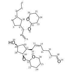 CCCC1CCC([C@@H](/C=C/[C@@H]2[C@@H](C/C=C\CCCC=O)[C@@H](OC3CCCCO3)C[C@H]2O)OC2CCCCO2)C1